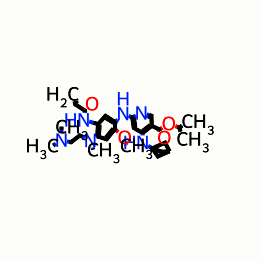 C=CC(=O)Nc1cc(Nc2cc(NC34CC(C3)C4)c(C(=O)OC(C)C)cn2)c(OC)cc1N(C)CCN(C)C